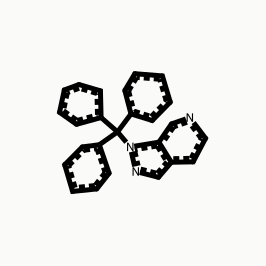 c1ccc(C(c2ccccc2)(c2ccccc2)n2ncc3ccncc32)cc1